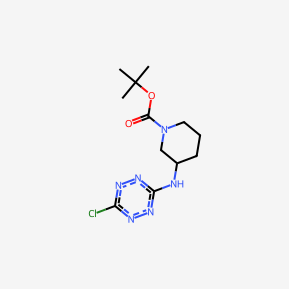 CC(C)(C)OC(=O)N1CCCC(Nc2nnc(Cl)nn2)C1